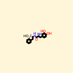 N[C@@H](Cc1ccc(O)c(O)c1)C(=O)NC(Cc1ccccc1)C(=O)O